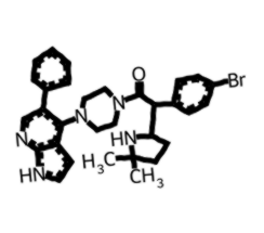 CC1(C)CCC(C(C(=O)N2CCN(c3c(-c4ccccc4)cnc4[nH]ccc34)CC2)c2ccc(Br)cc2)N1